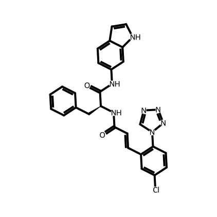 O=C(C=Cc1cc(Cl)ccc1-n1cnnn1)N[C@@H](Cc1ccccc1)C(=O)Nc1ccc2cc[nH]c2c1